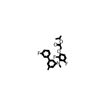 Cc1cc(-c2cccc(F)c2)cc(N(C)c2c(F)ccc(OCC(=O)OC(C)C)c2F)c1